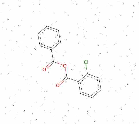 O=C(OC(=O)c1ccccc1Cl)c1ccccc1